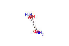 NCCCCCCCCCCCCCCCCCCCCCCCN.O=C(O)CCCCCCCCCCCCCCCCCC(=O)O